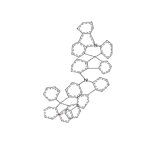 c1ccc(-c2ccc(-c3ccccc3N(c3ccc(C4(c5ccccc5)c5ccccc5-c5ccccc54)cc3)c3cccc4c3-c3ccccc3C43c4ccccc4-n4c5ccccc5c5cccc3c54)cc2)cc1